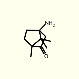 CC12CCC(N)(CC1=O)C2(C)C